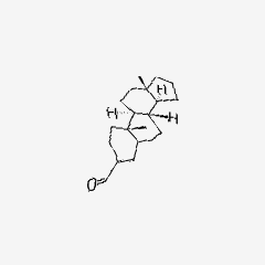 C[C@@]12CCC[C@H]1[C@@H]1CCC3CC(C=O)CC[C@]3(C)[C@H]1CC2